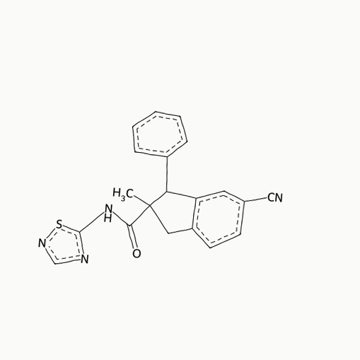 CC1(C(=O)Nc2ncns2)Cc2ccc(C#N)cc2C1c1ccccc1